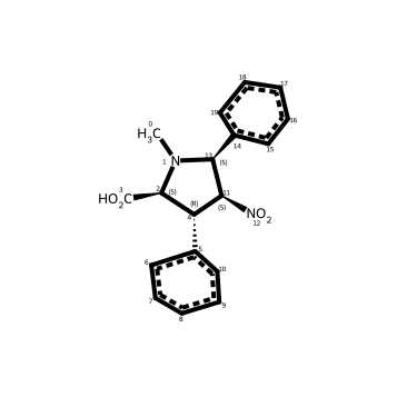 CN1[C@H](C(=O)O)[C@@H](c2ccccc2)[C@H]([N+](=O)[O-])[C@@H]1c1ccccc1